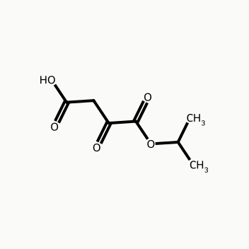 CC(C)OC(=O)C(=O)CC(=O)O